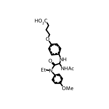 CCN(C(=O)C(NC(C)=O)Nc1ccc(OCCCC(=O)O)cc1)c1ccc(OC)cc1